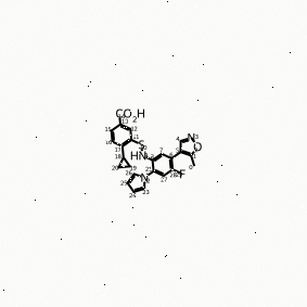 Cc1oncc1-c1cc(NSc2cc(C(=O)O)ccc2C2CC2)c(-n2cccc2)cc1F